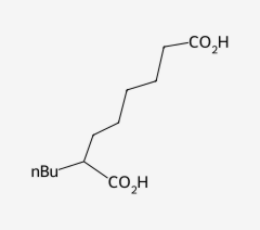 [CH2]CCCC(CCCCCC(=O)O)C(=O)O